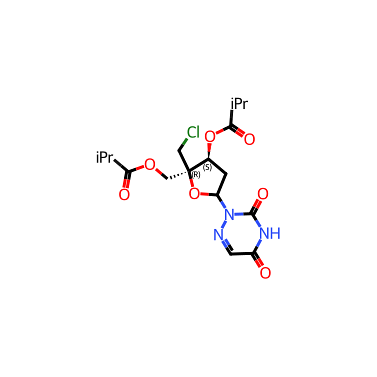 CC(C)C(=O)OC[C@@]1(CCl)OC(n2ncc(=O)[nH]c2=O)C[C@@H]1OC(=O)C(C)C